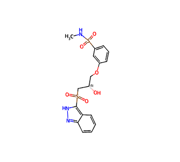 CNS(=O)(=O)c1cccc(OC[C@H](O)CS(=O)(=O)c2[nH]nc3ccccc23)c1